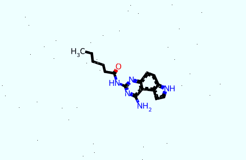 CCCCCC(=O)Nc1nc(N)c2c(ccc3[nH]ccc32)n1